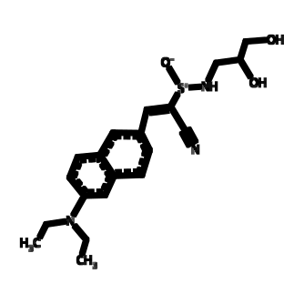 CCN(CC)c1ccc2cc(/C=C(\C#N)[S+]([O-])NCC(O)CO)ccc2c1